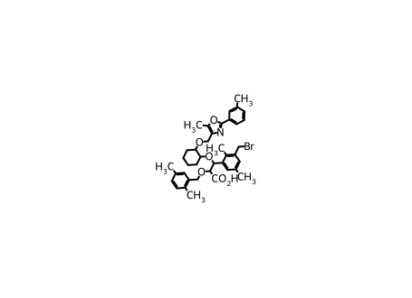 Cc1cccc(-c2nc(COC3CCCCC3OC(c3cc(C)cc(CBr)c3C)C(OCc3cc(C)ccc3C)C(=O)O)c(C)o2)c1